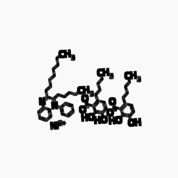 CCCCCCCCC(=Nc1ccccc1)C(CCCCC)=Nc1ccccc1.CCCCCc1ccc(O)c(O)c1C(=O)[O-].CCCCCc1ccc(O)c(O)c1C(=O)[O-].[Ni+2]